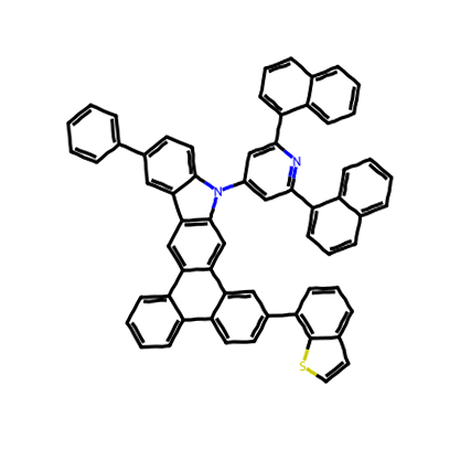 c1ccc(-c2ccc3c(c2)c2cc4c5ccccc5c5ccc(-c6cccc7ccsc67)cc5c4cc2n3-c2cc(-c3cccc4ccccc34)nc(-c3cccc4ccccc34)c2)cc1